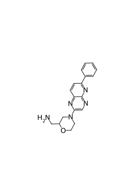 NCC1CN(c2cnc3nc(-c4ccccc4)ccc3n2)CCO1